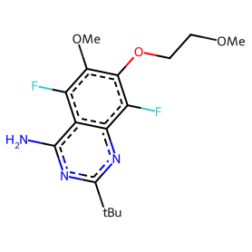 COCCOc1c(OC)c(F)c2c(N)nc(C(C)(C)C)nc2c1F